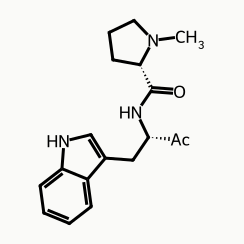 CC(=O)[C@H](Cc1c[nH]c2ccccc12)NC(=O)[C@@H]1CCCN1C